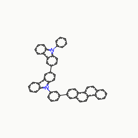 c1ccc(-n2c3ccccc3c3cc(-c4ccc5c(c4)c4ccccc4n5-c4cccc(-c5ccc6c(ccc7c8ccccc8ccc67)c5)c4)ccc32)cc1